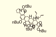 C=CCN(CC=C)[C@@H]1c2onc(OCCCC)c2C(=O)[C@@]2(O[Si](C)(C)C(C)(C)C)C(O)=C3C(=O)c4c(OCCCC)cc(C5CCCN5C(=O)OC(C)(C)C)c(F)c4C[C@H]3C[C@@H]12